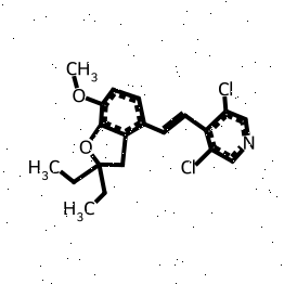 CCC1(CC)Cc2c(C=Cc3c(Cl)cncc3Cl)ccc(OC)c2O1